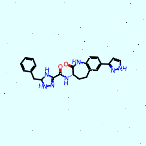 O=C(N[C@H]1CCc2cc(-c3cc[nH]n3)ccc2NC1=O)C1=NNC(Cc2ccccc2)N1